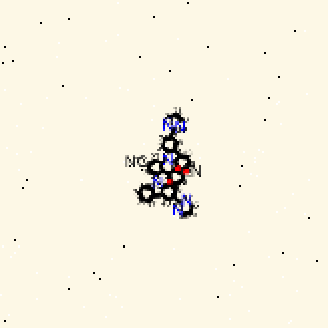 N#Cc1cccc(-c2c(-n3c4ccccc4c4cc(-c5ncccn5)ccc43)cc(C#N)cc2-n2c3ccccc3c3cc(-c4ncccn4)ccc32)c1